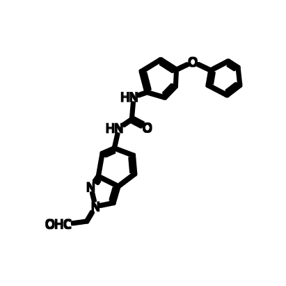 O=CCn1cc2ccc(NC(=O)Nc3ccc(Oc4ccccc4)cc3)cc2n1